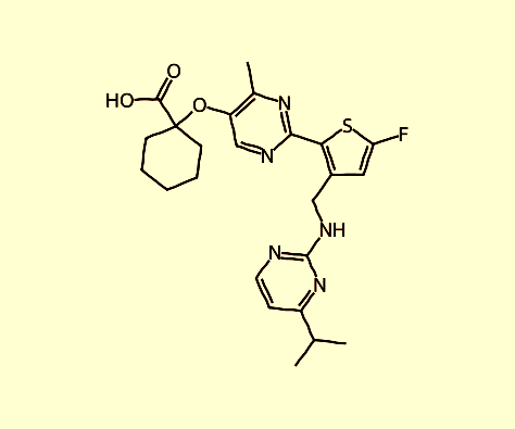 Cc1nc(-c2sc(F)cc2CNc2nccc(C(C)C)n2)ncc1OC1(C(=O)O)CCCCC1